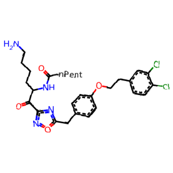 CCCCCC(=O)NC(CCCCN)C(=O)c1noc(Cc2ccc(OCCc3ccc(Cl)c(Cl)c3)cc2)n1